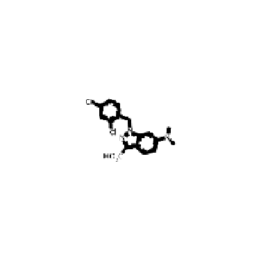 CN(C)c1ccc2c(C(=O)O)nn(Cc3ccc(Cl)cc3Cl)c2c1